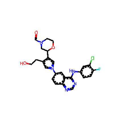 O=CN1CCOC(c2cn(-c3ccc4ncnc(Nc5ccc(F)c(Cl)c5)c4c3)cc2CCO)C1